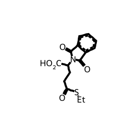 CCSC(=O)CCC(C(=O)O)N1C(=O)c2ccccc2C1=O